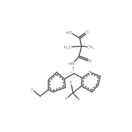 CC(C)(C(=O)O)C(=O)N[C@@H](c1ccc(CF)cc1)c1ncccc1C(F)(F)F